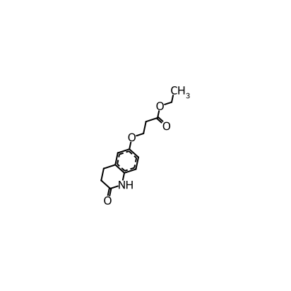 CCOC(=O)CCOc1ccc2c(c1)CCC(=O)N2